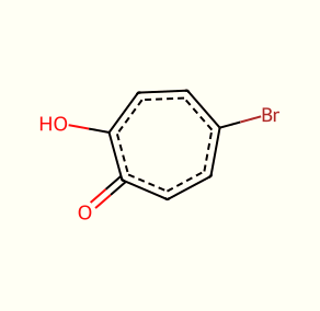 O=c1ccc(Br)ccc1O